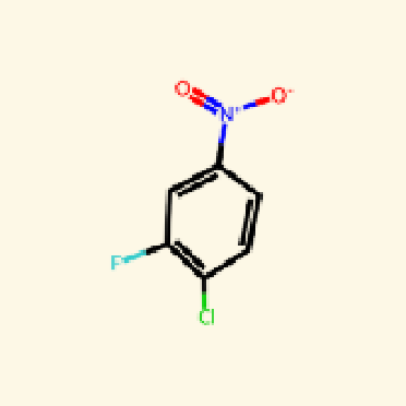 O=[N+]([O-])c1ccc(Cl)c(F)c1